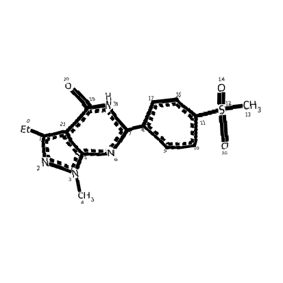 CCc1nn(C)c2nc(-c3ccc(S(C)(=O)=O)cc3)[nH]c(=O)c12